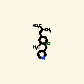 CC(=Cc1ccc(Cc2cccnc2)c(C)c1)C(=O)O.Cl